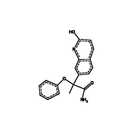 CC(Oc1ccccc1)(C(N)=O)c1ccc2ccc(O)nc2c1